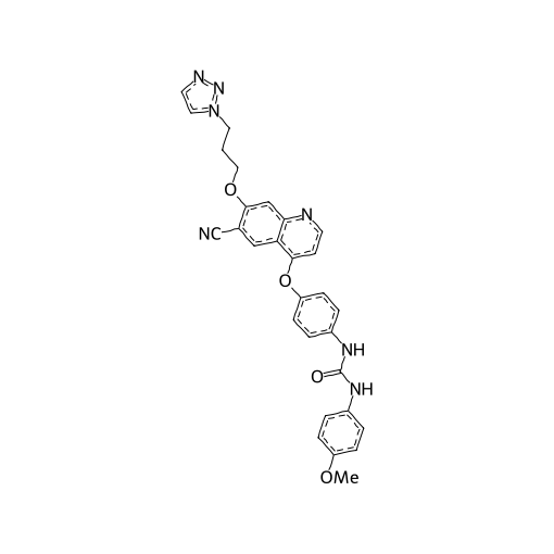 COc1ccc(NC(=O)Nc2ccc(Oc3ccnc4cc(OCCCn5ccnn5)c(C#N)cc34)cc2)cc1